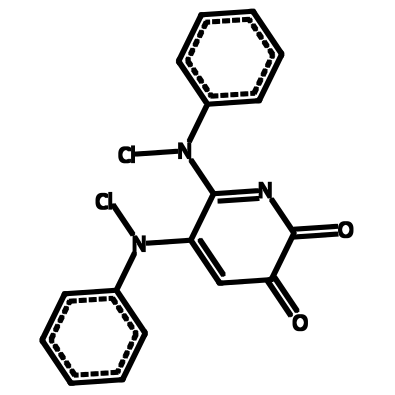 O=C1C=C(N(Cl)c2ccccc2)C(N(Cl)c2ccccc2)=NC1=O